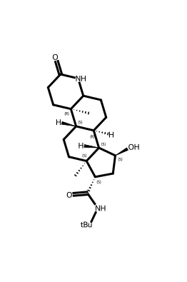 CC(C)(C)NC(=O)[C@H]1C[C@H](O)[C@H]2[C@@H]3CCC4NC(=O)CC[C@]4(C)[C@H]3CC[C@@]21C